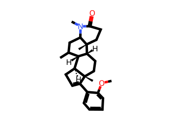 COc1ccccc1C1=CC[C@H]2[C@@H]3C(C)CC4N(C)C(=O)CC[C@]4(C)[C@@H]3CC[C@]12C